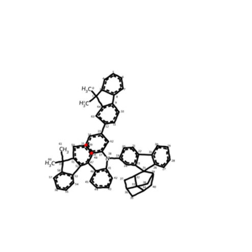 CC1(C)c2ccccc2-c2ccc(-c3cccc(N(c4ccc5c(c4)C4(c6ccccc6-5)C5CC6CC(C5)CC4C6)c4ccccc4-c4cccc5c4-c4ccccc4C5(C)C)c3)cc21